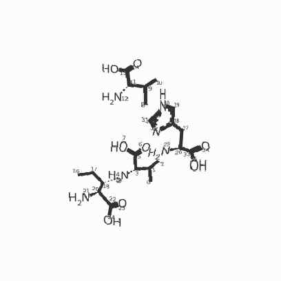 CC(C)[C@H](N)C(=O)O.CC(C)[C@H](N)C(=O)O.CC[C@H](C)[C@H](N)C(=O)O.N[C@@H](Cc1c[nH]cn1)C(=O)O